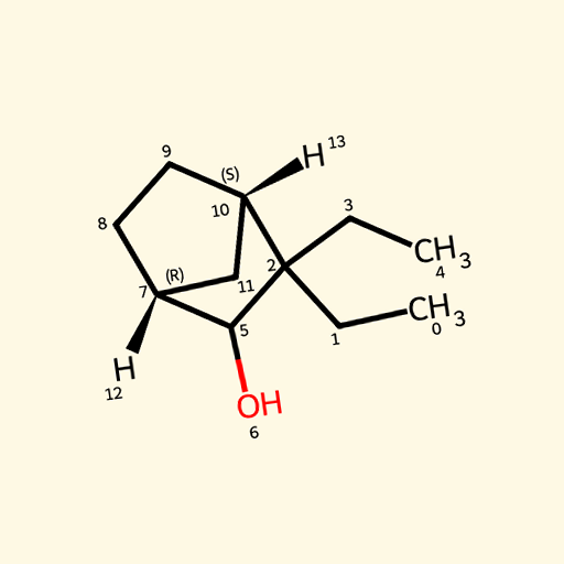 CCC1(CC)C(O)[C@@H]2CC[C@H]1C2